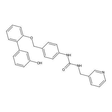 O=C(NCc1cccnc1)Nc1ccc(COc2ccccc2-c2cccc(O)c2)cc1